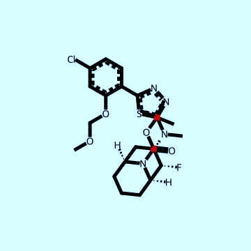 COCOc1cc(Cl)ccc1-c1nnc(N(C)[C@H]2C[C@@H]3CCC[C@H]([C@H]2F)N3C(=O)OC(C)(C)C)s1